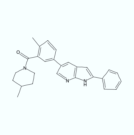 Cc1ccc(-c2cnc3[nH]c(-c4ccccc4)cc3c2)cc1C(=O)N1CCC(C)CC1